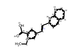 CCn1cc(/C=C/c2ccc3cccnc3n2)cc1C(=O)O